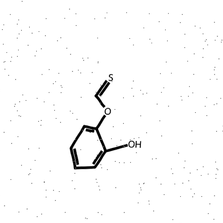 Oc1ccccc1OC=S